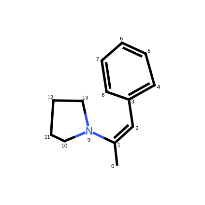 CC(=Cc1ccccc1)N1CCCC1